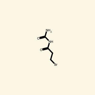 NC(=O)NC(=O)CCBr